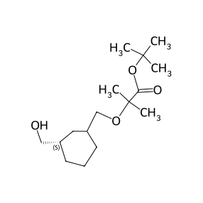 CC(C)(C)OC(=O)C(C)(C)OCC1CCC[C@H](CO)C1